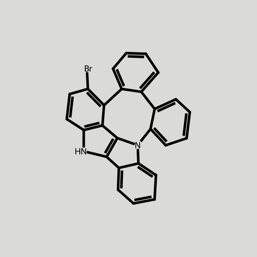 Brc1ccc2[nH]c3c4ccccc4n4c5ccccc5c5ccccc5c1c2c34